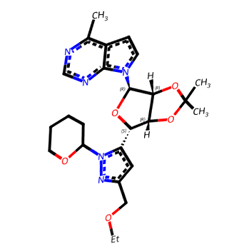 CCOCc1cc([C@@H]2O[C@@H](n3ccc4c(C)ncnc43)[C@@H]3OC(C)(C)O[C@@H]32)n(C2CCCCO2)n1